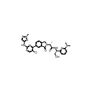 C[C@H](C(=O)N[C@H](CO)c1cccc(N(C)C)n1)N1Cc2ccc(-c3nc(Nc4cnn(C)n4)ncc3Cl)cc2C1=O